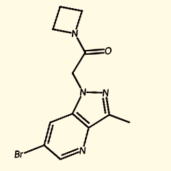 Cc1nn(CC(=O)N2CCC2)c2cc(Br)cnc12